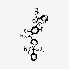 CN(c1cc(F)c(S(=O)(=O)N(OC=O)c2cscn2)cc1Cl)[C@H]1CCN(C(C)(C)c2ccccc2)C1